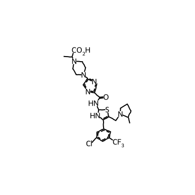 CC1CCCN1CC1=C(c2cc(Cl)cc(C(F)(F)F)c2)NC(NC(=O)c2cnc(N3CCN(C(C)C(=O)O)CC3)cn2)S1